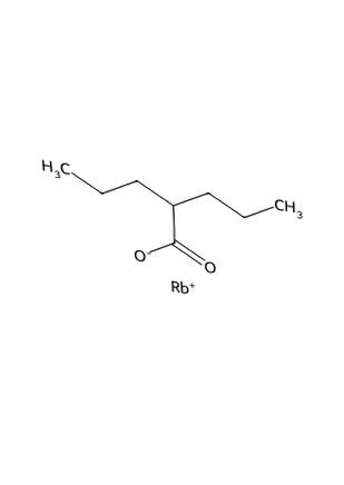 CCCC(CCC)C(=O)[O-].[Rb+]